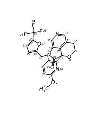 COc1cccc(C23OCCc4cccc(c42)N(Cc2ccc(C(F)(F)F)o2)C3=O)n1